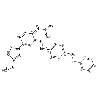 Cl.OCc1cc(-c2cc3c(Nc4ccc(OCc5ccccc5)cc4)ncnc3cn2)co1